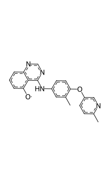 Cc1ccc(Oc2ccc(Nc3ncnc4cccc([O])c34)cc2C)cn1